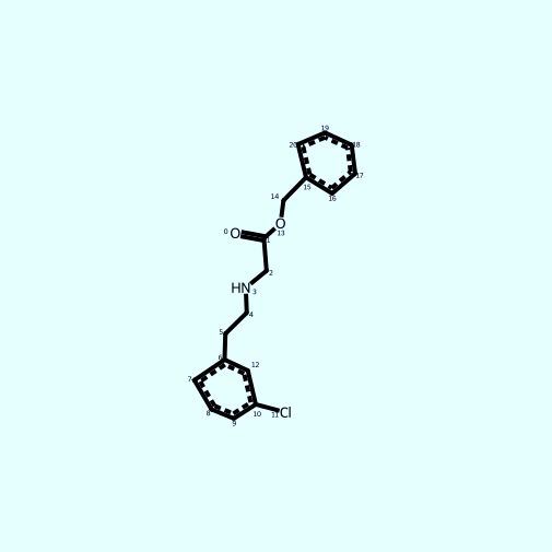 O=C(CNCCc1cccc(Cl)c1)OCc1ccccc1